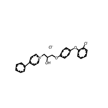 OC(COc1ccc(Oc2ccccc2Cl)cc1)C[n+]1ccc(-c2ccccc2)cc1.[Cl-]